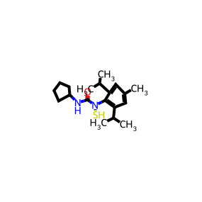 Cc1cc(C(C)C)c(N(S)C(=O)NC2CCCC2)c(C(C)C)c1